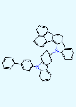 C1=C(n2c3ccccc3c3ccc4c(c32)-c2cccc3cccc-4c23)CCc2c1c1ccccc1n2-c1ccc(-c2ccccc2)cc1